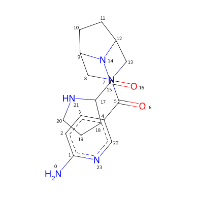 Nc1ccc(C(=O)N2CC3CCC(C2)N3C(=O)C2CCCN2)cn1